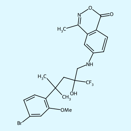 COc1cc(Br)ccc1C(C)(C)CC(O)(CNc1ccc2c(=O)onc(C)c2c1)C(F)(F)F